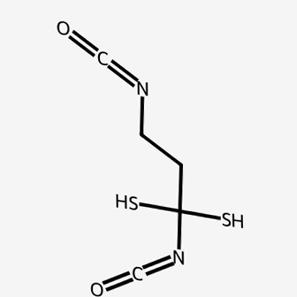 O=C=NCCC(S)(S)N=C=O